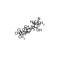 CO[C@H]1CN(c2nc(C(=O)NC(C)(C)C#N)c(C(=O)O)s2)CC[C@H]1NC(=O)c1[nH]c(C)c(Cl)c1Cl